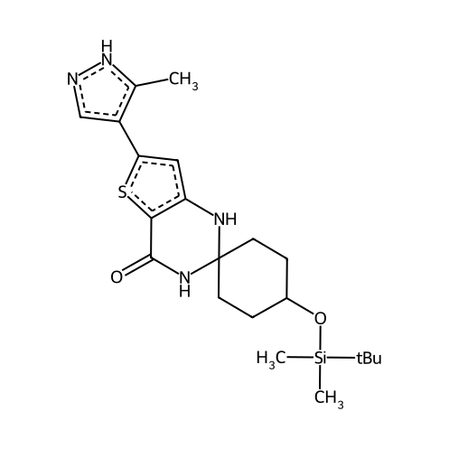 Cc1[nH]ncc1-c1cc2c(s1)C(=O)NC1(CCC(O[Si](C)(C)C(C)(C)C)CC1)N2